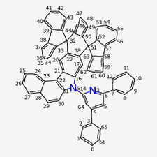 c1ccc(-c2cc(-c3ccccc3)nc(-n3c4cc5c(cc4c4c6ccccc6ccc43)C3(c4ccccc4-c4ccccc43)c3ccccc3C53c4ccccc4-c4ccccc43)c2)cc1